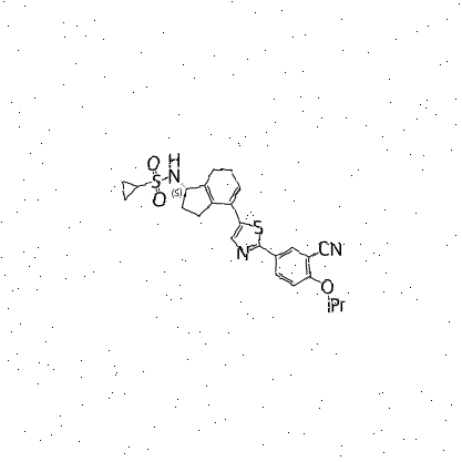 CC(C)Oc1ccc(-c2ncc(C3=CCCC4=C3CC[C@@H]4NS(=O)(=O)C3CC3)s2)cc1C#N